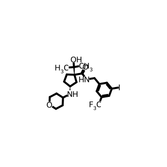 CC(C)(O)[C@]1(C(=O)NCc2cc(I)cc(C(F)(F)F)c2)CC[C@@H](NC2CCOCC2)C1